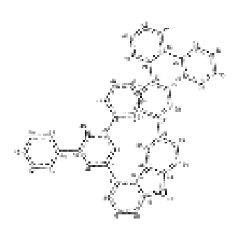 c1ccc(-c2cc(-c3cccc4oc5ccc(-c6ccc(-c7ccccc7-c7ccccc7)cc6)cc5c34)cc(-c3ccccc3)n2)cc1